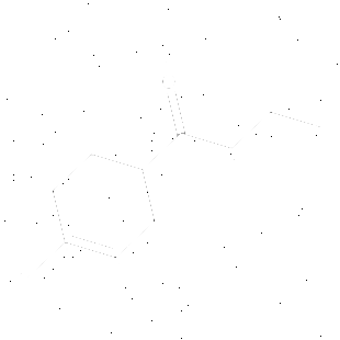 CCCC(=O)C1CC=C(C)CC1